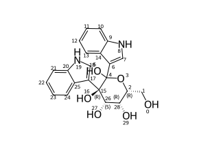 OC[C@H]1OC(O)(c2c[nH]c3ccccc23)[C@@](O)(c2c[nH]c3ccccc23)[C@@H](O)[C@H]1O